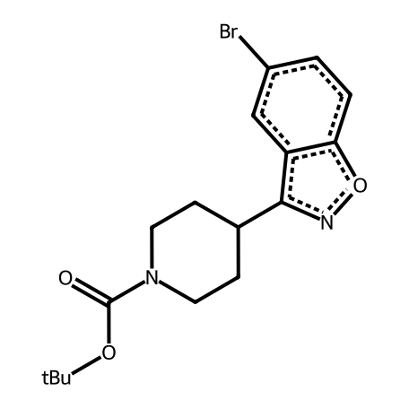 CC(C)(C)OC(=O)N1CCC(c2noc3ccc(Br)cc23)CC1